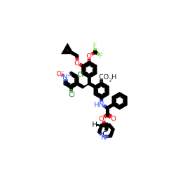 O=C(O)c1ccc(NC(C(=O)O[C@H]2CN3CCC2CC3)c2ccccc2)cc1[C@@H](Cc1c(Cl)c[n+]([O-])cc1Cl)c1ccc(OC(F)F)c(OCC2CC2)c1